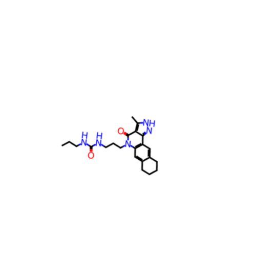 CCCNC(=O)NCCCn1c(=O)c2c(C)[nH]nc2c2cc3c(cc21)CCCC3